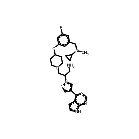 CN(Cc1cc(F)cc(OC2CCN(CC(CN)n3cc(-c4ncnc5[nH]ccc45)cn3)CC2)c1)C1CC1